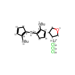 C1CCOC1.CCCCC1=[C]([Ti+2][C]2=C(CCCC)C=CC2)CC=C1.[Cl-].[Cl-].[Cl-].[Li+]